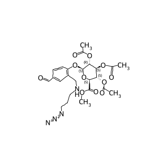 COC(=O)[C@H]1O[C@@H](Oc2ccc(C=O)cc2CNCCCN=[N+]=[N-])[C@H](OC(C)=O)[C@@H](OC(C)=O)[C@@H]1OC(C)=O